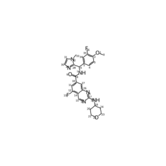 COc1ccc(C(NC(=O)c2cc(F)c3cnc(NC4CCOCC4)nc3c2)c2nccn2C)cc1F